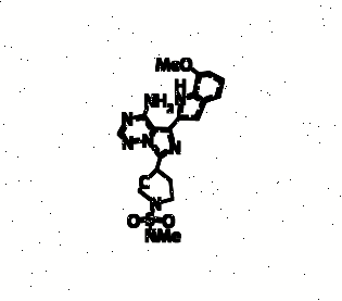 CNS(=O)(=O)N1CCC(c2nc(-c3cc4cccc(OC)c4[nH]3)c3c(N)ncnn23)CC1